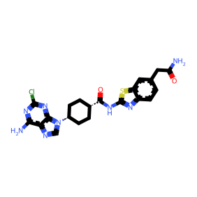 NC(=O)Cc1ccc2nc(NC(=O)[C@H]3CC[C@@H](n4cnc5c(N)nc(Cl)nc54)CC3)sc2c1